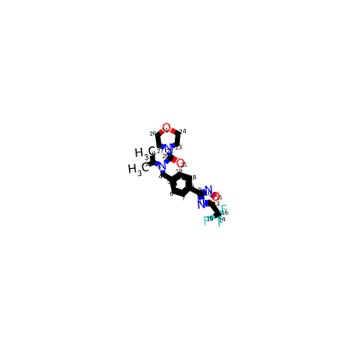 CC(C)N(Cc1ccc(-c2noc(C(F)(F)F)n2)cc1)C(=O)N1CCOCC1